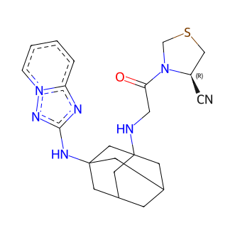 N#C[C@@H]1CSCN1C(=O)CNC12CC3CC(C1)CC(Nc1nc4ccccn4n1)(C3)C2